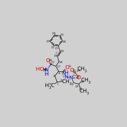 CC(C)CC(C(=O)NN(CC(C)C)S(C)(=O)=O)C(C/C=C/c1ccccc1)C(=O)NO